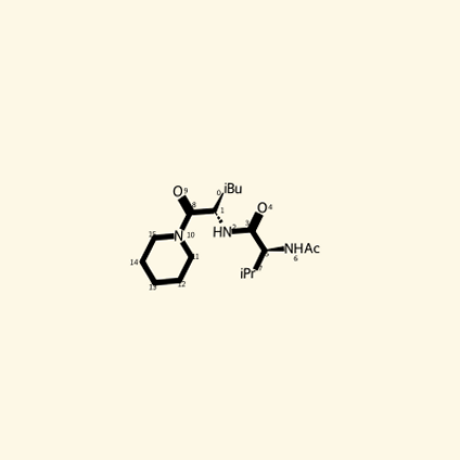 CC[C@H](C)[C@H](NC(=O)[C@@H](NC(C)=O)C(C)C)C(=O)N1CCCCC1